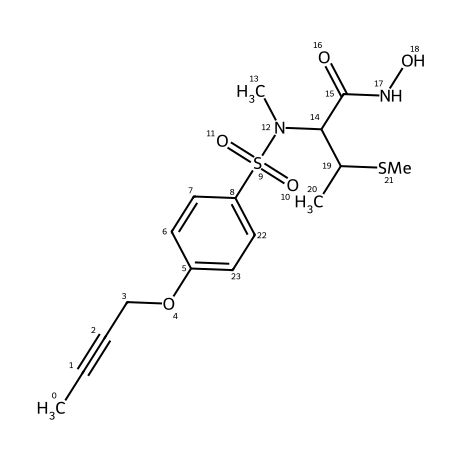 CC#CCOc1ccc(S(=O)(=O)N(C)C(C(=O)NO)C(C)SC)cc1